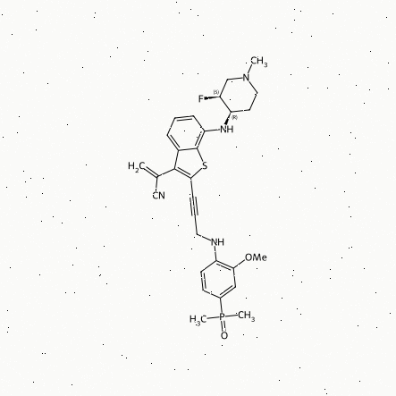 C=C(C#N)c1c(C#CCNc2ccc(P(C)(C)=O)cc2OC)sc2c(N[C@@H]3CCN(C)C[C@@H]3F)cccc12